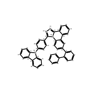 c1ccc(-c2ccccc2-c2ccc3c(c2)c2ccccc2c2nnc(-c4ccc(-n5c6ccccc6c6ccccc65)cc4)n32)cc1